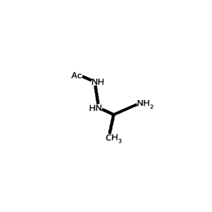 CC(=O)NNC(C)N